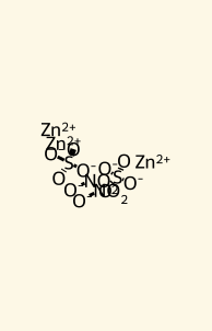 O=S(=O)([O-])[O-].O=S(=O)([O-])[O-].O=[N+]([O-])[O-].O=[N+]([O-])[O-].[Zn+2].[Zn+2].[Zn+2]